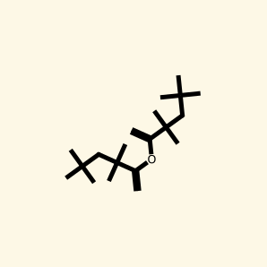 C=C(OC(=C)C(C)(C)CC(C)(C)C)C(C)(C)CC(C)(C)C